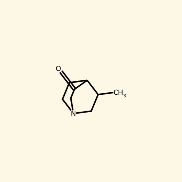 CC1CN2CCC1C(=O)C2